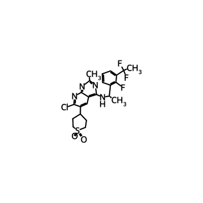 Cc1nc(N[C@H](C)c2cccc(C(C)(F)F)c2F)c2cc(C3CCS(=O)(=O)CC3)c(Cl)nc2n1